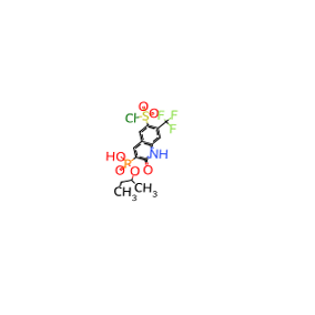 CCC(C)OP(=O)(O)c1cc2cc(S(=O)(=O)Cl)c(C(F)(F)F)cc2[nH]c1=O